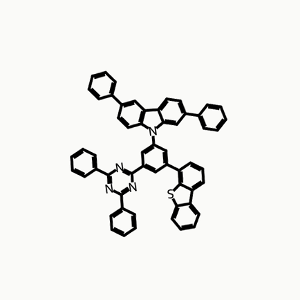 c1ccc(-c2ccc3c(c2)c2ccc(-c4ccccc4)cc2n3-c2cc(-c3nc(-c4ccccc4)nc(-c4ccccc4)n3)cc(-c3cccc4c3sc3ccccc34)c2)cc1